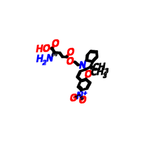 CC1(C)c2ccccc2N(CCOC(=O)CC[C@H](N)C(=O)O)C12C=Cc1cc([N+](=O)[O-])ccc1O2